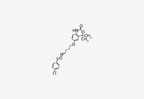 CC1(C)OC(=O)Nc2ccc(OCCCC=NOSc3ccc(Cl)cc3)cc21